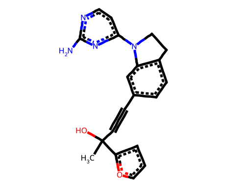 CC(O)(C#Cc1ccc2c(c1)N(c1ccnc(N)n1)CC2)c1ccco1